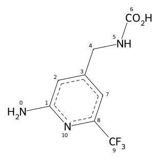 Nc1cc(CNC(=O)O)cc(C(F)(F)F)n1